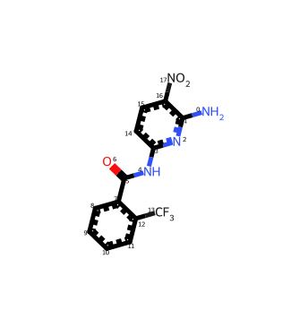 Nc1nc(NC(=O)c2ccccc2C(F)(F)F)ccc1[N+](=O)[O-]